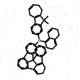 CC1(C)C2=C(CC=CCC2)c2ccc(N(C3=C4C=CCCC4=CCC3)c3ccc4c(c3)C35C6=C(CCC=C6c6cccc-4c63)c3ccccc35)cc21